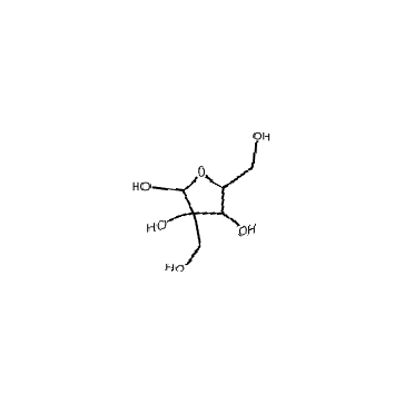 OCC1OC(O)C(O)(CO)C1O